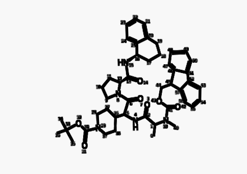 CC(C(=O)NC(C(=O)N1CCC[C@H]1C(=O)N[C@@H]1CCCc2ccccc21)C1CCN(C(=O)OC(C)(C)C)CC1)N(C)C(=O)OCC1c2ccccc2-c2ccccc21